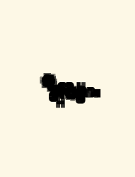 CC(C)(C)OC(=O)N1CCC(C(NC(=O)OCc2ccccc2)C(=O)O)CC1